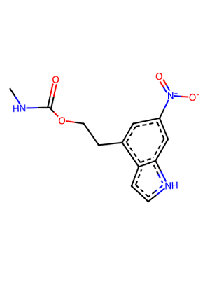 CNC(=O)OCCc1cc([N+](=O)[O-])cc2[nH]ccc12